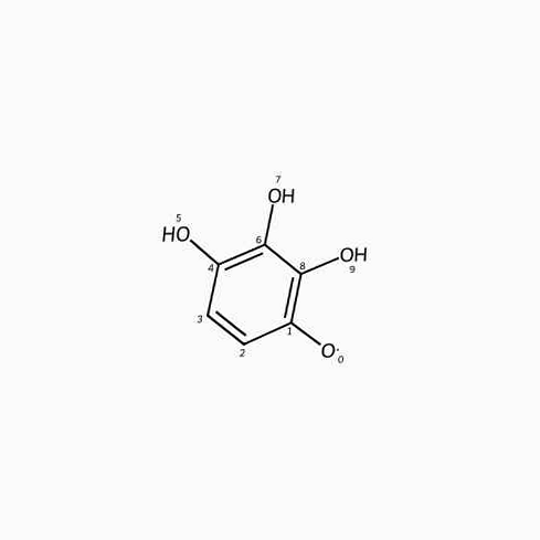 [O]c1ccc(O)c(O)c1O